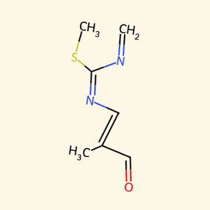 C=N/C(=N\C=C(/C)C=O)SC